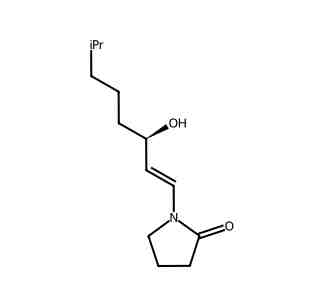 CC(C)CCC[C@@H](O)C=CN1CCCC1=O